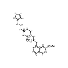 COc1ccc2nccc(CCC[C@@H]3CCN(CCCc4cccs4)C[C@@H]3C(=O)O)c2c1